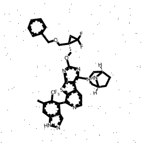 Cc1cc2[nH]ncc2c(-c2nccc3c2sc2nc(OC[C@]4(COCc5ccccc5)CC4(F)F)nc(N4C[C@H]5CC[C@@H](C4)N5)c23)c1C(F)(F)F